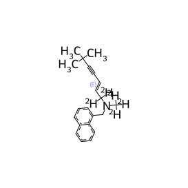 [2H]C([2H])([2H])N(Cc1cccc2ccccc12)C([2H])([2H])/C=C/C#CC(C)(C)C